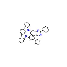 c1ccc(-c2nc(-c3ccccc3)c3ccc(-n4c5ccccc5c5ccc6c7ccccc7n(-c7ccccc7)c6c54)cc3n2)cc1